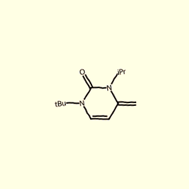 C=C1C=CN(C(C)(C)C)C(=O)N1C(C)C